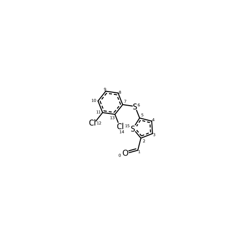 O=Cc1ccc(Sc2cccc(Cl)c2Cl)s1